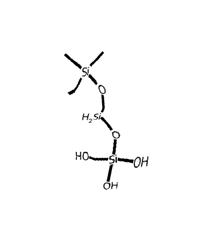 C[Si](C)(C)O[SiH2]O[Si](O)(O)O